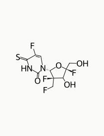 O=c1[nH]c(=S)c(F)cn1[C@@H]1O[C@](F)(CO)C(O)[C@]1(F)CF